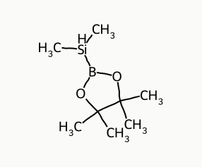 C[SiH](C)B1OC(C)(C)C(C)(C)O1